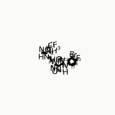 O=[N+]([O-])C=C(NCCNc1nonc1C(=NO)Nc1ccc(F)c(Br)c1)NCC(F)(F)F